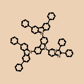 c1ccc(-c2ccc3c(c2)c2cc(-c4ccccc4)ccc2n3-c2ccc3c(c2)c2cc(-n4c5ccc(-c6ccccc6)cc5c5cc(-c6ccccc6)ccc54)ccc2n3-c2ccc3nc(-c4ccccc4)c(-c4ccccc4)n3c2)cc1